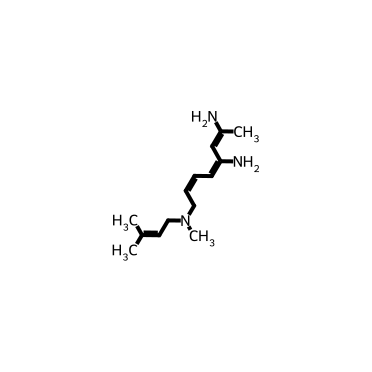 CC(C)=CCN(C)C\C=C/C=C(N)\C=C(/C)N